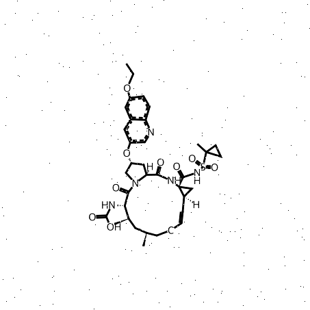 CCOc1ccc2ncc(O[C@@H]3C[C@H]4C(=O)N[C@]5(C(=O)NS(=O)(=O)C6(C)CC6)C[C@H]5/C=C\CC[C@@H](C)C[C@@H](C)[C@H](NC(=O)O)C(=O)N4C3)cc2c1